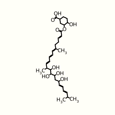 C\C(=C/C=C/C=C/C(C)C(O)C(O)C(O)CC(O)/C=C/C=C/C(C)C)CC/C=C/C(=O)OC1CC(C(=O)O)CCC1O